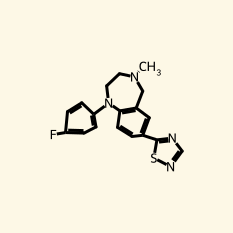 CN1CCN(c2ccc(F)cc2)c2ccc(-c3ncns3)cc2C1